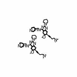 COc1cc2c(NCc3ccncc3)nc(N3CCCCC3)nc2cc1C#CCCN(C)C.COc1cc2c(NCc3ccncc3)nc(N3CCCCC3)nc2cc1C#CCCN(C)C